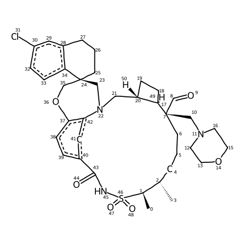 C[C@@H]1[C@@H](C)CCC[C@](C=O)(CN2CCOCC2)[C@@H]2CC[C@H]2CN2C[C@@]3(CCCc4cc(Cl)ccc43)COc3ccc(cc32)C(=O)NS1(=O)=O